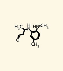 CNc1ccc(C)cc1NC(C)CC=O